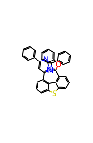 c1ccc(-c2cc(-c3cccc4sc5cccc(-c6nc7ccccc7o6)c5c34)nc(-c3ccccc3)n2)cc1